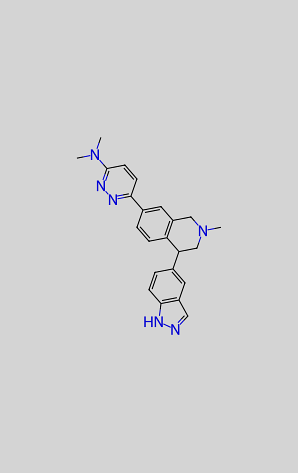 CN1Cc2cc(-c3ccc(N(C)C)nn3)ccc2C(c2ccc3[nH]ncc3c2)C1